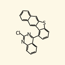 Clc1nc(-c2cccc3sc4cc5ccccc5cc4c23)c2ccccc2n1